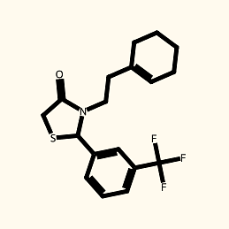 O=C1CSC(c2cccc(C(F)(F)F)c2)N1CCC1=CCCCC1